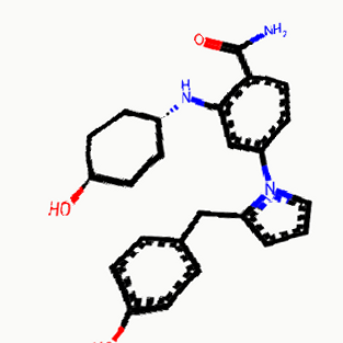 NC(=O)c1ccc(-n2cccc2Cc2ccc(O)cc2)cc1N[C@H]1CC[C@H](O)CC1